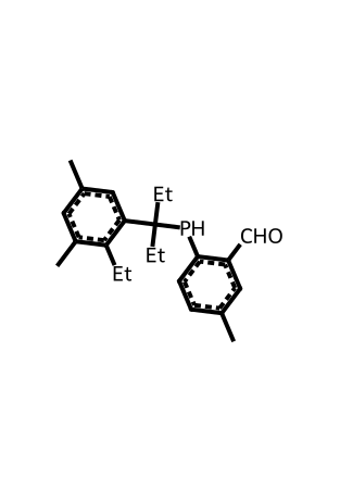 CCc1c(C)cc(C)cc1C(CC)(CC)Pc1ccc(C)cc1C=O